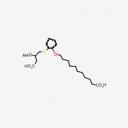 COC(CSc1ccccc1OCCCCCCCCCCC(=O)O)CC(=O)O